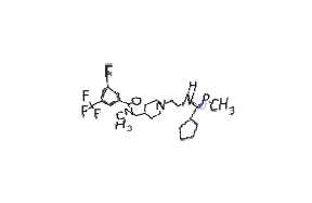 C/P=C(/NCCN1CCC(CN(C)C(=O)c2cc(F)cc(C(F)(F)F)c2)CC1)C1CCCC1